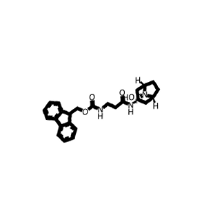 O=C(CCNC(=O)OCC1c2ccccc2-c2ccccc21)N[C@@H]1C[C@H]2CC[C@@H](C1)N2C(=O)O